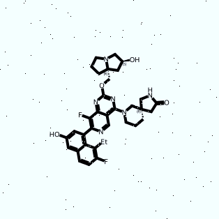 CCc1c(F)ccc2cc(O)cc(-c3ncc4c(N5CCC[C@@]6(CNC(=O)C6)C5)nc(OC[C@]56CCCN5C[C@@H](O)C6)nc4c3F)c12